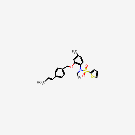 CC(C)CN(c1ccc(C(F)(F)F)cc1OCc1ccc(C=CC(=O)O)cc1)S(=O)(=O)c1cccs1